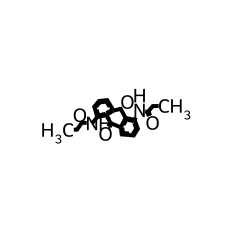 CCC(=O)Nc1cccc2c1C(=O)c1cccc(NC(=O)CC)c1C2=O